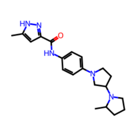 Cc1cc(C(=O)Nc2ccc(N3CCC(N4CCCC4C)C3)cc2)n[nH]1